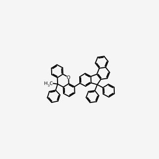 CC1(c2ccccc2)c2ccccc2Oc2c(-c3ccc4c(c3)C(c3ccccc3)(c3ccccc3)c3ccc5ccccc5c3-4)cccc21